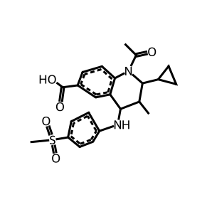 CC(=O)N1c2ccc(C(=O)O)cc2C(Nc2ccc(S(C)(=O)=O)cc2)C(C)C1C1CC1